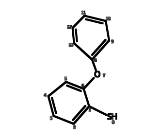 Sc1ccccc1Oc1ccccc1